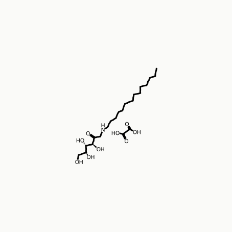 CCCCCCCCCCCCCCNCC(=O)[C@@H](O)[C@@H](O)[C@H](O)CO.O=C(O)C(=O)O